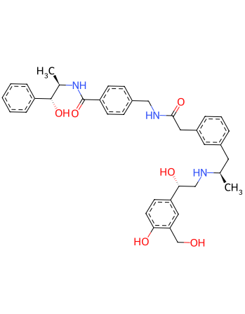 C[C@H](Cc1cccc(CC(=O)NCc2ccc(C(=O)N[C@H](C)[C@H](O)c3ccccc3)cc2)c1)NC[C@@H](O)c1ccc(O)c(CO)c1